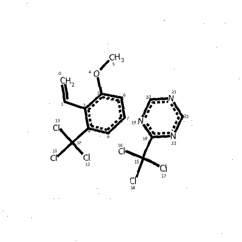 C=Cc1c(OC)cccc1C(Cl)(Cl)Cl.ClC(Cl)(Cl)c1ncncn1